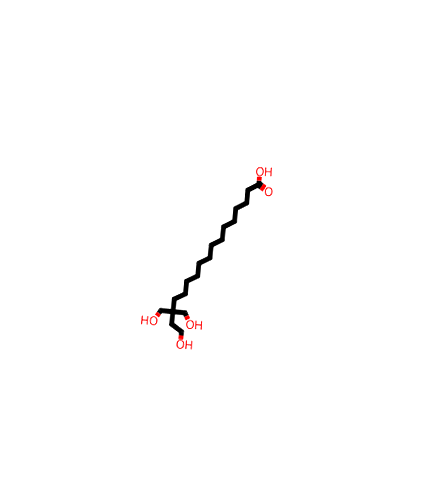 O=C(O)CCCCCCCCCCCCCC(CO)(CO)CCO